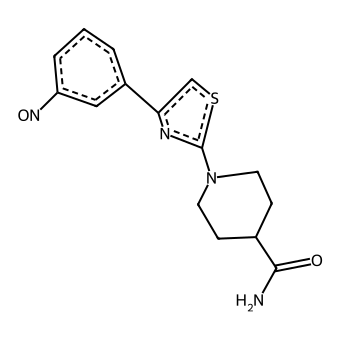 NC(=O)C1CCN(c2nc(-c3cccc(N=O)c3)cs2)CC1